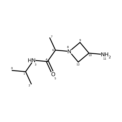 CC(C)NC(=O)C(C)N1CC(N)C1